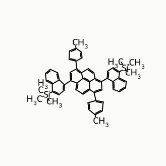 Cc1ccc(-c2cc(-c3ccc([Si](C)(C)C)c4ccccc34)c3ccc4c(-c5ccc(C)cc5)cc(-c5ccc([Si](C)(C)C)c6ccccc56)c5ccc2c3c45)cc1